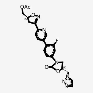 CC(=O)OC[C@@H]1CC(c2ccc(-c3ccc(N4C[C@H](Cn5ccnn5)OC4=O)cc3F)cn2)=NO1